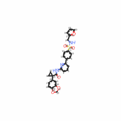 O=C(Nc1cccc(-c2ccc(S(=O)(=O)NCc3ccco3)cc2)n1)C1(c2ccc3c(c2)OCO3)CC1